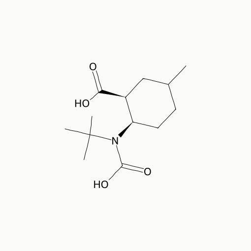 CC1CC[C@@H](N(C(=O)O)C(C)(C)C)[C@@H](C(=O)O)C1